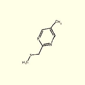 CSCc1ncc(C)cn1